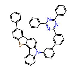 c1ccc(-c2ccc3sc4c(ccc5c4c4ccccc4n5-c4cccc(-c5cccc(-c6nc(-c7ccccc7)nc(-c7ccccc7)n6)c5)c4)c3c2)cc1